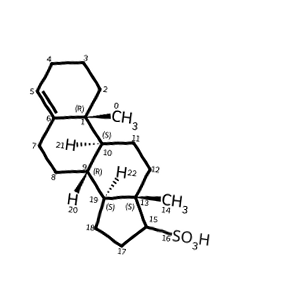 C[C@]12CCCC=C1CC[C@@H]1[C@@H]2CC[C@]2(C)C(S(=O)(=O)O)CC[C@@H]12